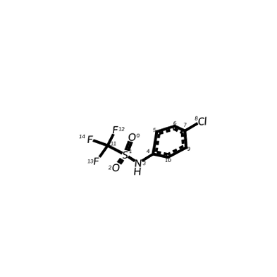 O=S(=O)(Nc1ccc(Cl)cc1)C(F)(F)F